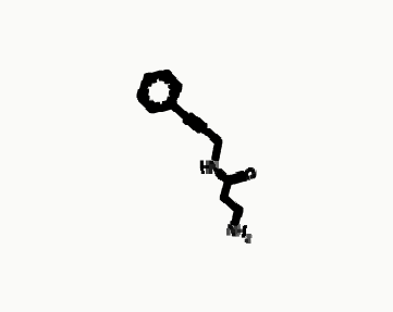 NCCC(=O)NCC#Cc1ccccc1